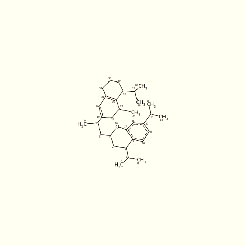 CC(CC1CC(C(C)C)c2ccc(C(C)C)cc2O1)C1=CC2=C(C(C)C1)C(C(C)C)CCC2